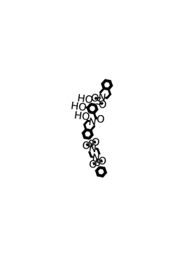 O=C(c1cc(S(=O)(=O)N2CCc3ccccc3C2)c(O)c(O)c1O)N1CCc2ccc(S(=O)(=O)N3CCN(S(=O)(=O)c4ccccc4)CC3)cc2C1